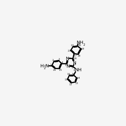 Nc1ccc(-c2nc(Nc3ccccc3)nc(-c3ccc(N)cc3)n2)cc1